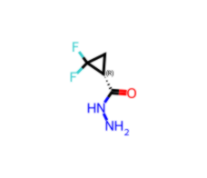 NNC(=O)[C@H]1CC1(F)F